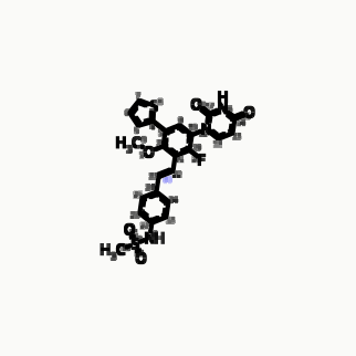 COc1c(-c2cccs2)cc(-n2ccc(=O)[nH]c2=O)c(F)c1/C=C/c1ccc(NS(C)(=O)=O)cc1